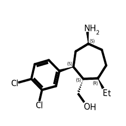 CC[C@@H]1CC[C@H](N)C[C@H](c2ccc(Cl)c(Cl)c2)[C@H]1CO